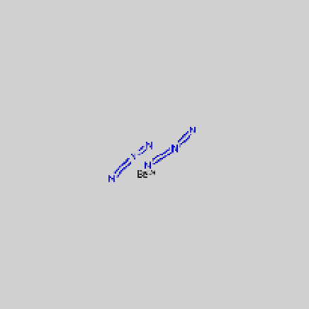 [Be+2].[N-]=[N+]=[N-].[N-]=[N+]=[N-]